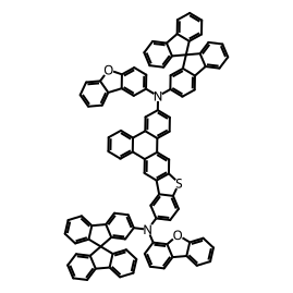 c1ccc2c(c1)-c1ccccc1C21c2ccccc2-c2ccc(N(c3ccc4oc5ccccc5c4c3)c3ccc4c(c3)c3ccccc3c3cc5c(cc43)sc3ccc(N(c4ccc6c(c4)C4(c7ccccc7-c7ccccc74)c4ccccc4-6)c4cccc6c4oc4ccccc46)cc35)cc21